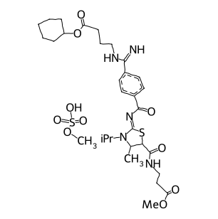 COC(=O)CCNC(=O)C1SC(=NC(=O)c2ccc(C(=N)NCCCC(=O)OC3CCCCC3)cc2)N(C(C)C)C1C.COS(=O)(=O)O